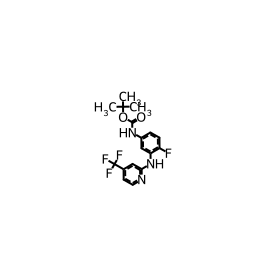 CC(C)(C)OC(=O)Nc1ccc(F)c(Nc2cc(C(F)(F)F)ccn2)c1